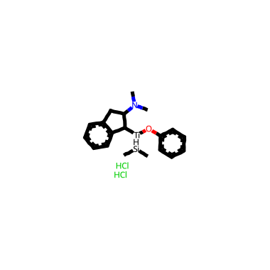 CN(C)C1Cc2ccccc2[CH]1[Ti]([O]c1ccccc1)[SiH](C)C.Cl.Cl